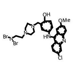 COc1ccc2nc3cc(Cl)ccc3c(Nc3ccc(O)c(CN4CCN(CCN(Br)Br)CC4)c3)c2c1